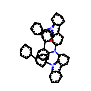 c1ccc(-c2ccc(-n3c4ccccc4c4cccc(N(c5ccc6c7ccccc7n(-c7ccccc7)c6c5)c5ccccc5-c5ccccc5)c43)cc2)cc1